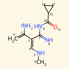 C=C(N)/C(=C/NC)C(=N)NC(=O)C1CC1